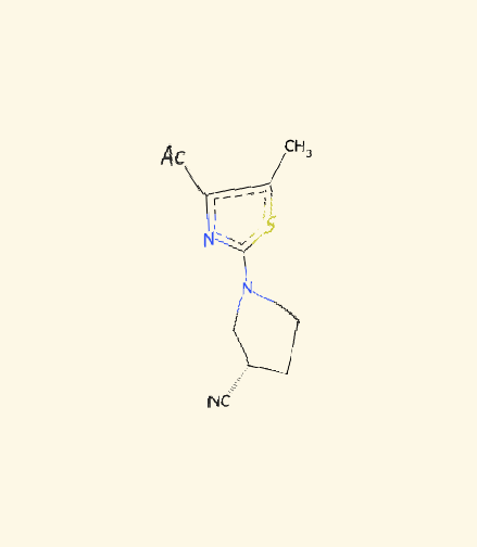 CC(=O)c1nc(N2CC[C@H](C#N)C2)sc1C